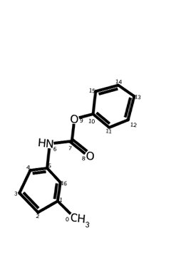 Cc1cccc(NC(=O)Oc2ccccc2)c1